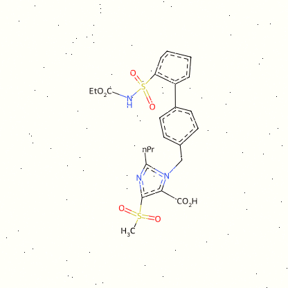 CCCc1nc(S(C)(=O)=O)c(C(=O)O)n1Cc1ccc(-c2ccccc2S(=O)(=O)NC(=O)OCC)cc1